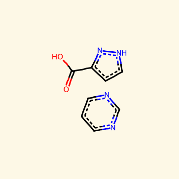 O=C(O)c1cc[nH]n1.c1cncnc1